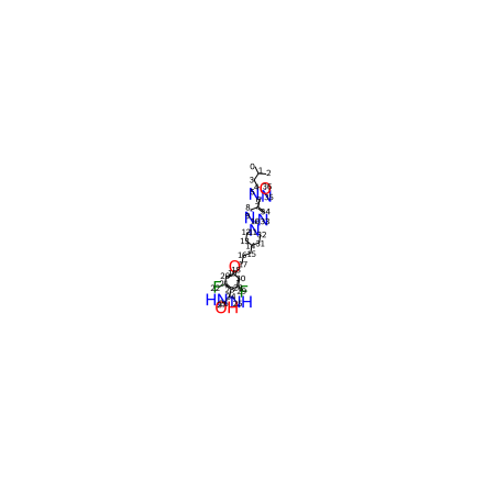 CC(C)Cc1nc(-c2cnc(N3CCC(CCCOc4cc(F)c(C(=N)NO)c(F)c4)CC3)nc2)no1